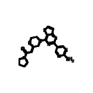 Nc1ncc(-c2nc(N3CCOC(CC(=O)N4CCCC4)C3)c3sccc3n2)cn1